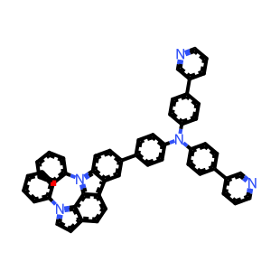 c1ccc(-n2ccc3ccc4c5cc(-c6ccc(N(c7ccc(-c8cccnc8)cc7)c7ccc(-c8cccnc8)cc7)cc6)ccc5n(-c5ccccc5)c4c32)cc1